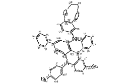 CC(C)(C)c1ccc(N2c3ccc(C(C)(C)C)cc3B3c4ccccc4N(c4ccc5c(c4)OCCO5)c4cc(-c5ccccc5)cc2c43)cc1